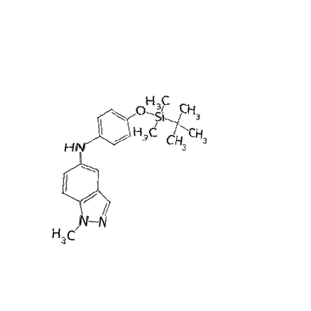 Cn1ncc2cc(Nc3ccc(O[Si](C)(C)C(C)(C)C)cc3)ccc21